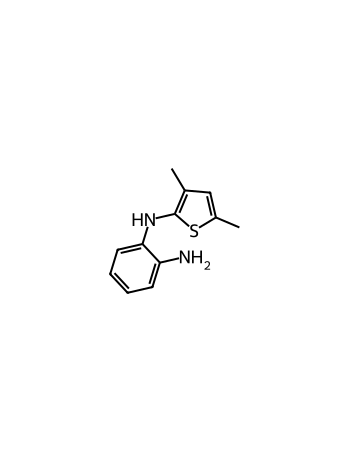 Cc1cc(C)c(Nc2ccccc2N)s1